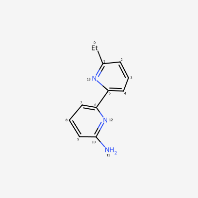 CCc1cccc(-c2cccc(N)n2)n1